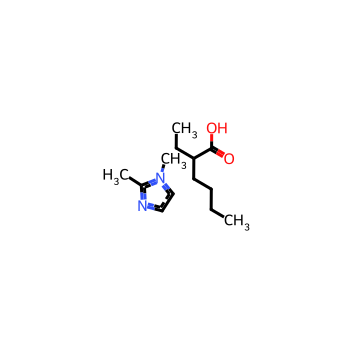 CCCCC(CC)C(=O)O.Cc1nccn1C